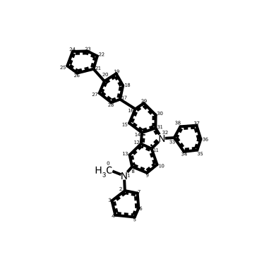 CN(c1ccccc1)c1ccc2c(c1)c1cc(-c3ccc(-c4ccccc4)cc3)ccc1n2-c1ccccc1